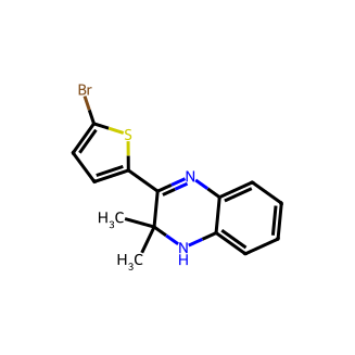 CC1(C)Nc2ccccc2N=C1c1ccc(Br)s1